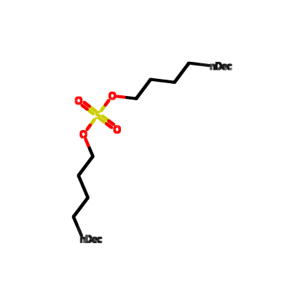 CCCCCCCCCCCCCCOS(=O)(=O)OCCCCCCCCCCCCCC